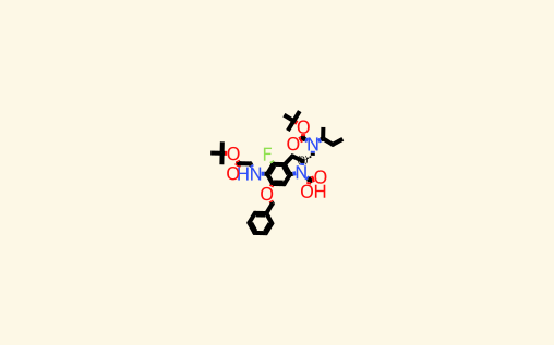 CCC(C)N(C[C@H]1Cc2c(cc(OCc3ccccc3)c(NCC(=O)OC(C)(C)C)c2F)N1C(=O)O)C(=O)OC(C)(C)C